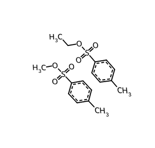 CCOS(=O)(=O)c1ccc(C)cc1.COS(=O)(=O)c1ccc(C)cc1